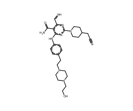 N#CCC1CCN(c2nc(C=N)c(C(N)=O)c(Nc3ccc(CCN4CCN(CCO)CC4)cc3)n2)CC1